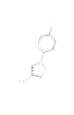 Nc1cnn(-c2ccc(C(F)(F)F)cn2)c1